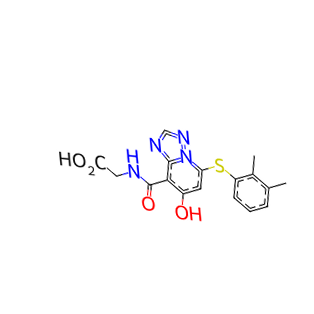 Cc1cccc(Sc2cc(O)c(C(=O)NCC(=O)O)c3ncnn23)c1C